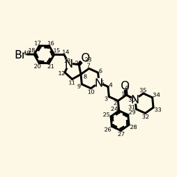 O=C(C(CCN1CCC2(CC1)CCN(Cc1ccc(Br)cc1)C2=O)c1ccccc1)N1CCCCC1